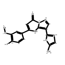 CCOc1cc(-c2cc(=O)n3ncc(-c4ncc(C)o4)c3[nH]2)ccc1F